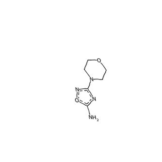 Nc1nc(N2CCOCC2)no1